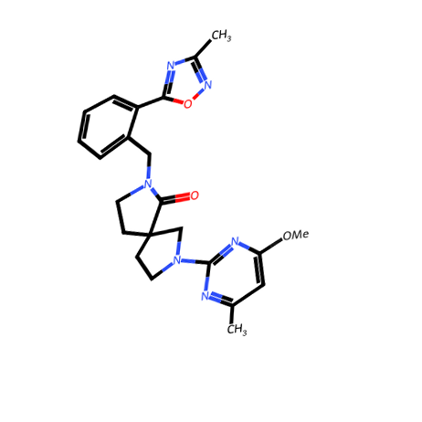 COc1cc(C)nc(N2CCC3(CCN(Cc4ccccc4-c4nc(C)no4)C3=O)C2)n1